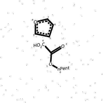 CCCCCOC(=O)C(=O)O.c1ccoc1